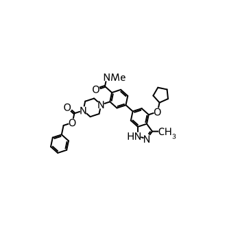 CNC(=O)c1ccc(-c2cc(OC3CCCC3)c3c(C)n[nH]c3c2)cc1N1CCN(C(=O)OCc2ccccc2)CC1